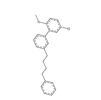 COc1ccc(Cl)cc1-c1cccc(CCCCc2ccccc2)c1